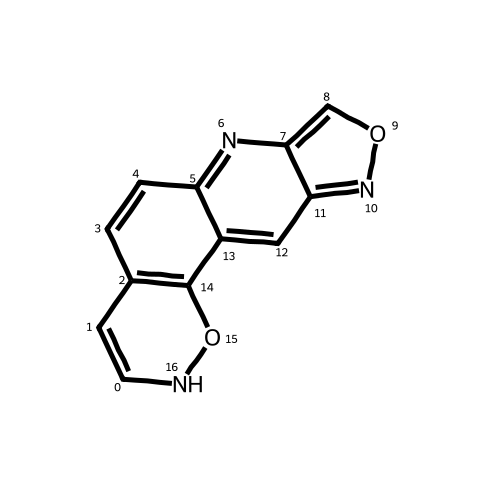 C1=Cc2ccc3nc4conc4cc3c2ON1